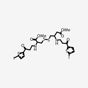 COC(=O)CC(CSSCC(NCCC(=O)c1ccc(I)s1)C(=O)OC)NCCC(=O)c1ccc(I)s1